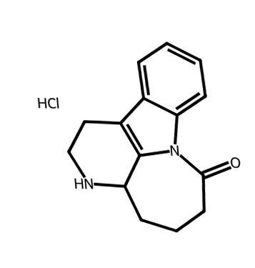 Cl.O=C1CCCC2NCCc3c2n1c1ccccc31